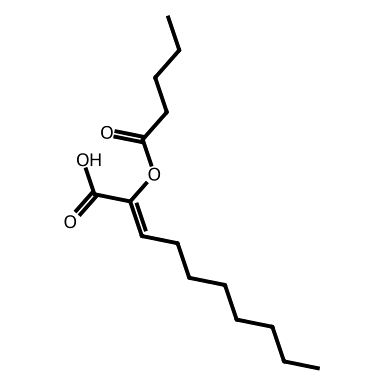 CCCCCCC/C=C(\OC(=O)CCCC)C(=O)O